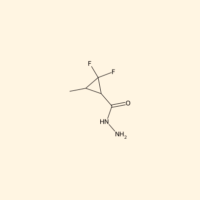 CC1C(C(=O)NN)C1(F)F